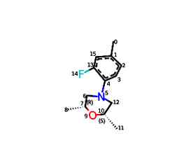 Cc1ccc(N2C[C@@H](C)O[C@@H](C)C2)c(F)c1